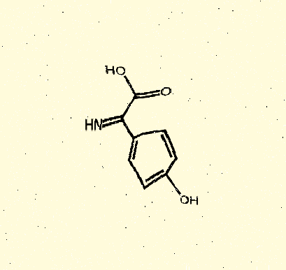 N=C(C(=O)O)c1ccc(O)cc1